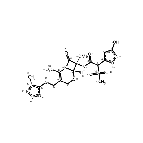 CO[C@@]1(NC(=O)C(c2cc(O)no2)S(C)(=O)=O)C(=O)N2C(C(=O)O)=C(CSc3nnnn3C)CS[C@H]21